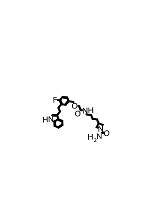 NC(=O)N1CC(CCCCNC(=O)COCc2ccc(F)c(CCc3c[nH]c4ccccc34)c2)C1